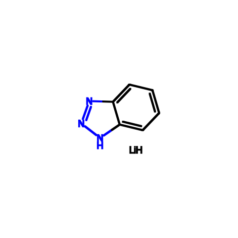 [LiH].c1ccc2[nH]nnc2c1